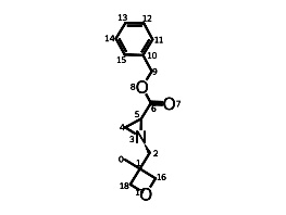 CC1(C[N@@]2CC2C(=O)OCc2ccccc2)COC1